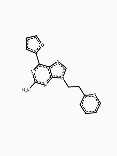 Nc1nc(-c2ccco2)c2ncn(CCc3ccccn3)c2n1